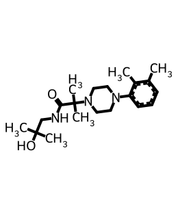 Cc1cccc(N2CCN(C(C)(C)C(=O)NCC(C)(C)O)CC2)c1C